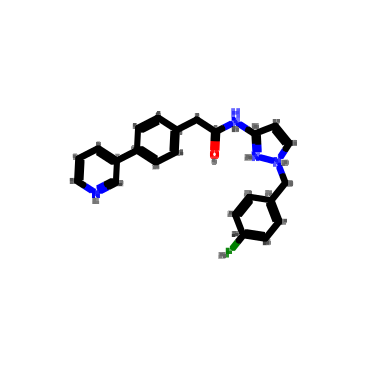 O=C(Cc1ccc(-c2cccnc2)cc1)Nc1ccn(Cc2ccc(F)cc2)n1